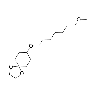 COCCCCCCCOC1CCC2(CC1)OCCO2